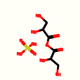 O=C(OC(=O)C(O)CO)C(O)CO.O=S(=O)(O)O